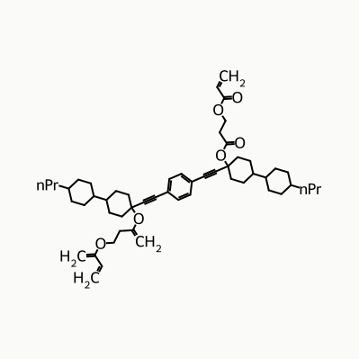 C=CC(=C)OCCC(=C)OC1(C#Cc2ccc(C#CC3(OC(=O)CCOC(=O)C=C)CCC(C4CCC(CCC)CC4)CC3)cc2)CCC(C2CCC(CCC)CC2)CC1